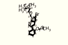 COCOc1ccccc1-c1cc2cc(Br)n(COCC[Si](C)(C)C)c2nn1